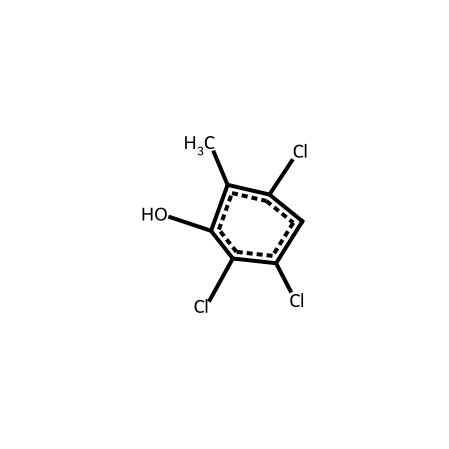 Cc1c(Cl)cc(Cl)c(Cl)c1O